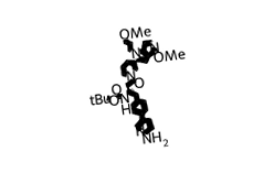 COCCCn1c([C@@H]2CCCN(C(=O)C[C@@H](Cc3ccc(-c4ccc(N)nc4)cc3)NC(=O)OC(C)(C)C)C2)cc2c(OC)nccc21